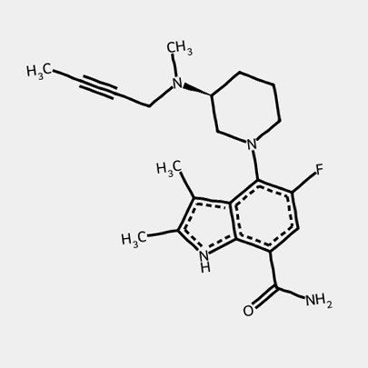 CC#CCN(C)[C@H]1CCCN(c2c(F)cc(C(N)=O)c3[nH]c(C)c(C)c23)C1